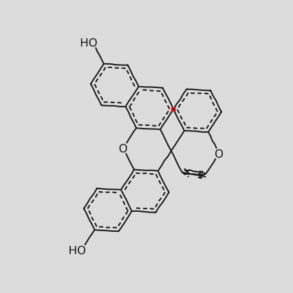 Oc1ccc2c3c(ccc2c1)C1(c2ccccc2Oc2ccccc21)c1ccc2cc(O)ccc2c1O3